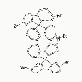 CCn1c2ccc(C3(c4ccccc4)c4cc(Br)ccc4-c4ccc(Br)cc43)cc2c2cc(C3(c4ccccc4)c4cc(Br)ccc4-c4ccc(Br)cc43)ccc21